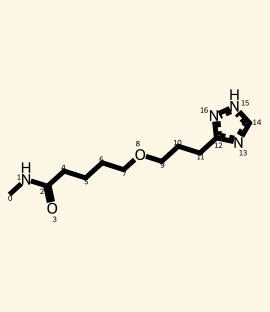 CNC(=O)CCCCOCCCc1nc[nH]n1